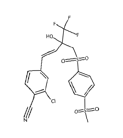 CS(=O)(=O)c1ccc(S(=O)(=O)CC(O)(/C=C/c2ccc(C#N)c(Cl)c2)C(F)(F)F)cc1